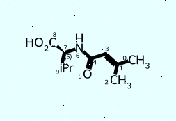 CC(C)=CC(=O)N[C@H](C(=O)O)C(C)C